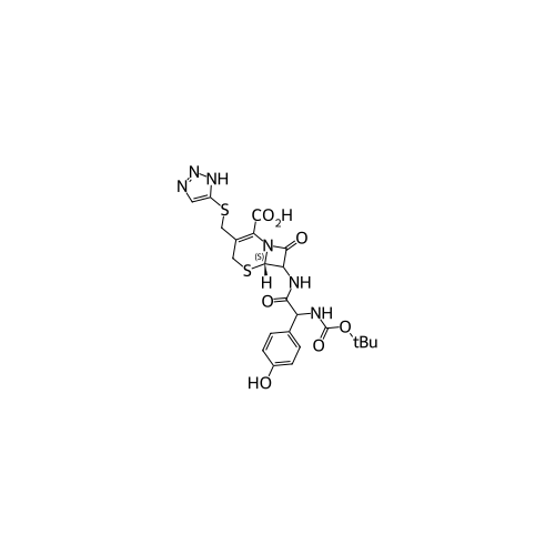 CC(C)(C)OC(=O)NC(C(=O)NC1C(=O)N2C(C(=O)O)=C(CSc3cnn[nH]3)CS[C@@H]12)c1ccc(O)cc1